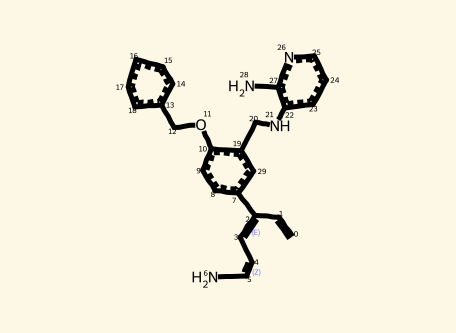 C=C/C(=C\C=C/N)c1ccc(OCc2ccccc2)c(CNc2cccnc2N)c1